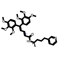 COc1ccc(C(=C/C=C/C(=O)N[C@H](C)CCCc2cccnc2)c2ccc(OC)c(OC)c2OC)c(OC)c1OC